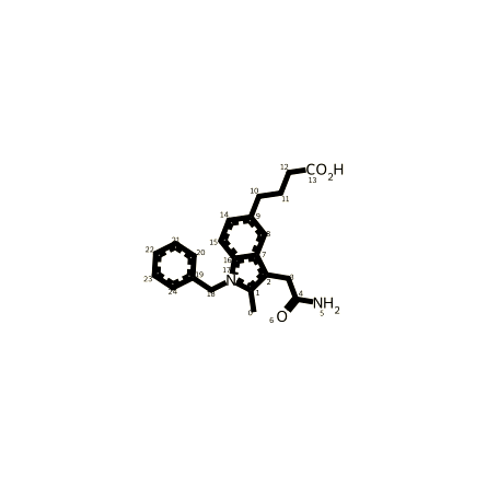 Cc1c(CC(N)=O)c2cc(CCCC(=O)O)ccc2n1Cc1ccccc1